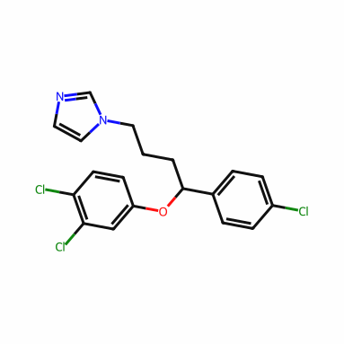 Clc1ccc(C(CCCn2ccnc2)Oc2ccc(Cl)c(Cl)c2)cc1